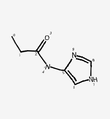 CCC(=O)[N]c1c[nH]cn1